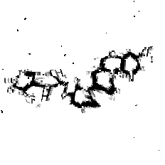 CC(COC1CCCN(C2CCN3c4ncc(C(F)(F)F)cc4OCC3C2)C1=O)Nc1cn[nH]c(=O)c1C(F)(F)F